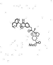 COC(=O)[C@H]1CC[C@H](OC(F)(C(=O)Cc2ccc(NC(=O)c3nccc4ccccc34)c(Cl)c2)N2CCCC2)CC1